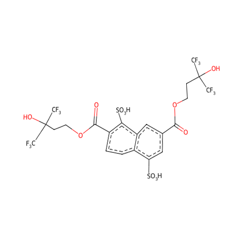 O=C(OCCC(O)(C(F)(F)F)C(F)(F)F)c1cc(S(=O)(=O)O)c2ccc(C(=O)OCCC(O)(C(F)(F)F)C(F)(F)F)c(S(=O)(=O)O)c2c1